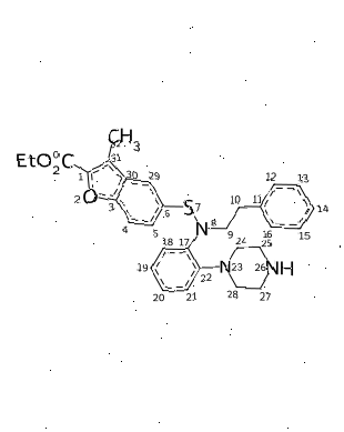 CCOC(=O)c1oc2ccc(SN(CCc3ccccc3)c3ccccc3N3CCNCC3)cc2c1C